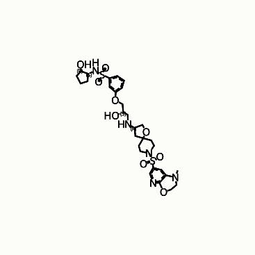 CN1CCOc2ncc(S(=O)(=O)N3CCC4(CC3)C[C@@H](NC[C@H](O)COc3cccc(S(=O)(=O)N[C@H]5CCC[C@H]5O)c3)CO4)cc21